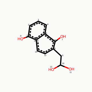 Oc1cccc2c(O)c(CC(O)O)ccc12